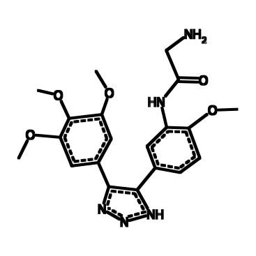 COc1ccc(-c2[nH]nnc2-c2cc(OC)c(OC)c(OC)c2)cc1NC(=O)CN